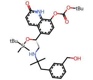 CC(C)(Cc1cccc(CO)c1)NC[C@H](O[Si](C)(C)C(C)(C)C)c1ccc(OC(=O)OC(C)(C)C)c2[nH]c(=O)ccc12